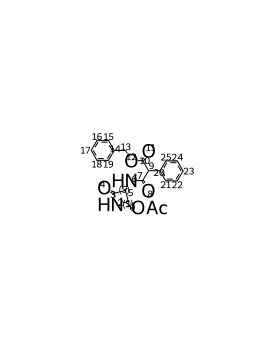 CC(=O)O[C@@H]1NC(=O)[C@H]1NC(=O)C(C(=O)OCc1ccccc1)c1ccccc1